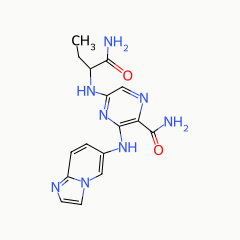 CCC(Nc1cnc(C(N)=O)c(Nc2ccc3nccn3c2)n1)C(N)=O